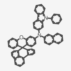 c1ccc(-n2c3ccccc3c3ccc(N(c4ccc5c(c4)Oc4ccccc4C54c5ccccc5-c5cccc6cccc4c56)c4ccc5ccccc5c4)cc32)cc1